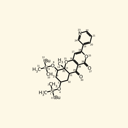 CC(C)(C)[Si](C)(C)OC1CC(O[Si](C)(C)C(C)(C)C)[C@]2(C)Oc3cc(-c4cccnc4)oc(=O)c3C(=O)C2C1